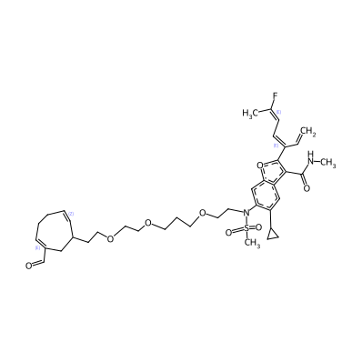 C=C/C(=C\C=C(/C)F)c1oc2cc(N(CCOCCCOCCOCCC3/C=C\CC/C=C(/C=O)C3)S(C)(=O)=O)c(C3CC3)cc2c1C(=O)NC